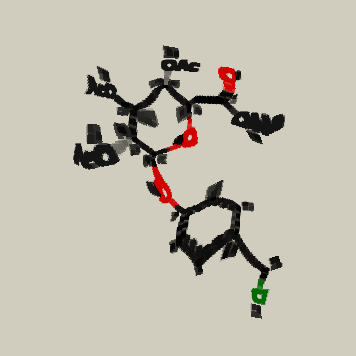 COC(=O)[C@H]1O[C@@H](Oc2ccc(CCl)cc2)[C@H](OC(C)=O)[C@@H](OC(C)=O)[C@@H]1OC(C)=O